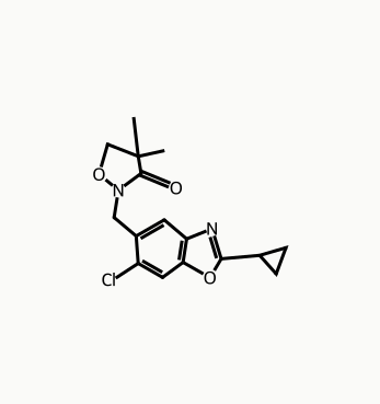 CC1(C)CON(Cc2cc3nc(C4CC4)oc3cc2Cl)C1=O